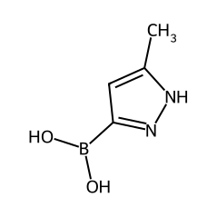 Cc1cc(B(O)O)n[nH]1